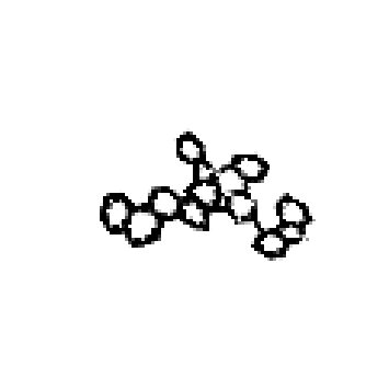 c1ccc(-n2c3ccccc3c3ccccc32)c(-c2nc(-c3ccc4c(ccc5c6ccccc6ccc45)c3)nc(-c3cccc4oc5ccccc5c34)n2)c1